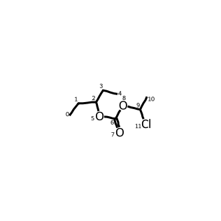 CCC(CC)OC(=O)OC(C)Cl